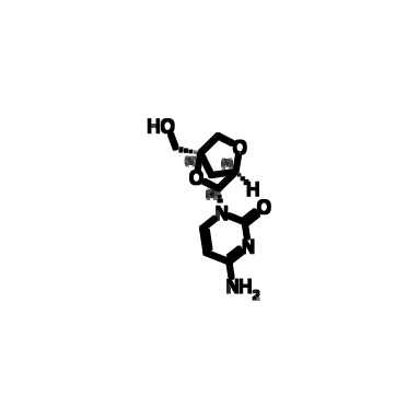 Nc1ccn([C@@H]2O[C@@]3(CO)CO[C@@H]2C3)c(=O)n1